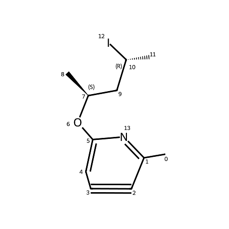 Cc1c#ccc(O[C@@H](C)C[C@@H](C)I)n1